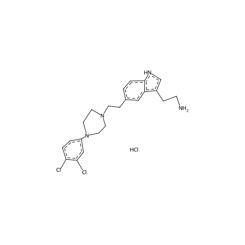 Cl.NCCc1c[nH]c2ccc(CCN3CCN(c4ccc(Cl)c(Cl)c4)CC3)cc12